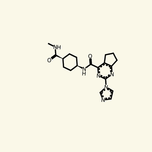 CNC(=O)[C@H]1CC[C@@H](NC(=O)c2nc(-n3ccnc3)nc3c2CCC3)CC1